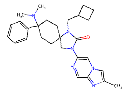 Cc1cn2cc(N3CC4(CCC(c5ccccc5)(N(C)C)CC4)N(CC4CCC4)C3=O)ncc2n1